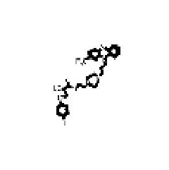 CC(COc1ccc(I)cc1)C(=O)OCCN1CCN(CCCN2c3ccccc3Sc3ccc(C(F)(F)F)cc32)CC1